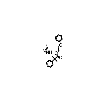 CC(C)(C(=O)OCCOc1ccccc1)c1ccccc1.O=C1NN1